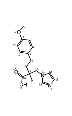 COc1ccc(CCC(C)(Cn2ccnc2)C(=O)O)cc1